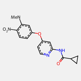 CNc1cc(Oc2ccnc(NC(=O)C3CC3)c2)ccc1[N+](=O)[O-]